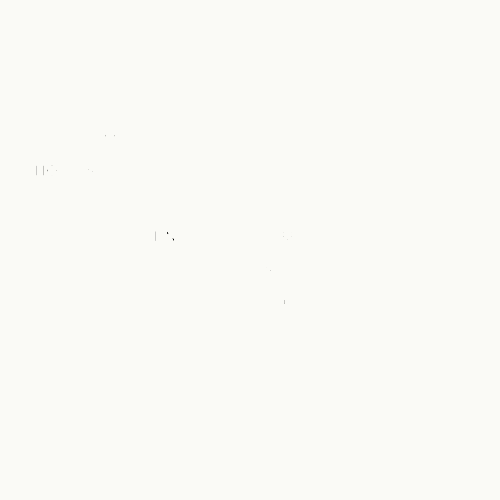 CCCCC(CC)COC(=O)CCNCCC(=O)O